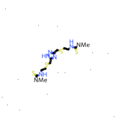 CNC(=S)NCCSCc1n[nH]c(CSCCNC(=S)NC)n1